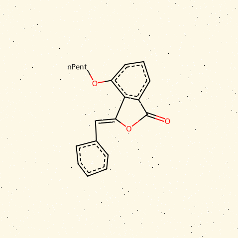 CCCCCOc1cccc2c1C(=Cc1ccccc1)OC2=O